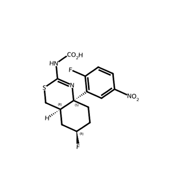 O=C(O)NC1=N[C@@]2(c3cc([N+](=O)[O-])ccc3F)CC[C@@H](F)C[C@H]2CS1